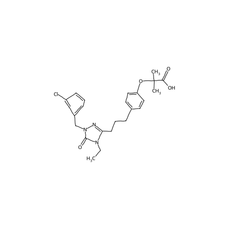 CCn1c(CCCc2ccc(OC(C)(C)C(=O)O)cc2)nn(Cc2cccc(Cl)c2)c1=O